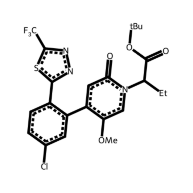 CCC(C(=O)OC(C)(C)C)n1cc(OC)c(-c2cc(Cl)ccc2-c2nnc(C(F)(F)F)s2)cc1=O